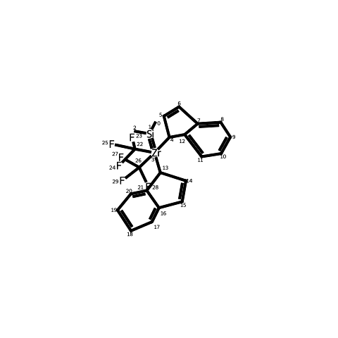 C[Si](C)=[Zr]([CH]1C=Cc2ccccc21)([CH]1C=Cc2ccccc21)([C](F)(F)F)[C](F)(F)F